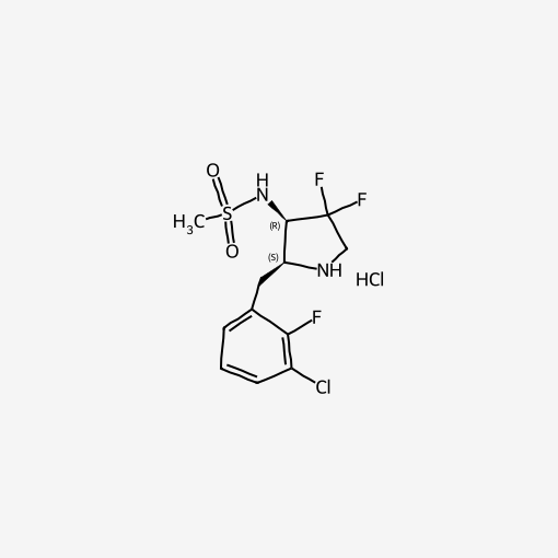 CS(=O)(=O)N[C@@H]1[C@H](Cc2cccc(Cl)c2F)NCC1(F)F.Cl